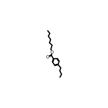 CCCCCCCOC(=O)c1ccc(CCCC)cc1